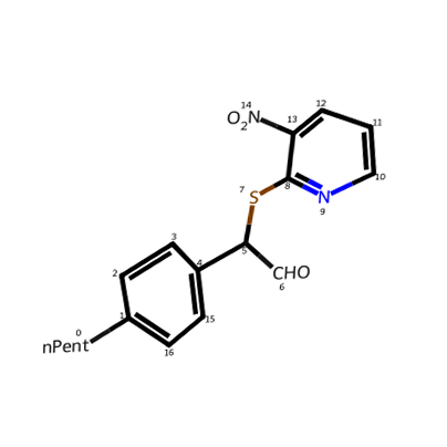 CCCCCc1ccc(C(C=O)Sc2ncccc2[N+](=O)[O-])cc1